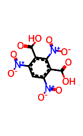 O=C(O)c1c([N+](=O)[O-])cc([N+](=O)[O-])c(C(=O)O)c1[N+](=O)[O-]